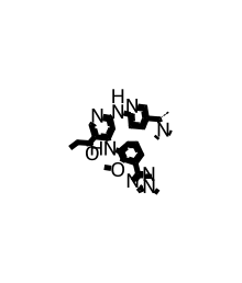 CCC(=O)c1cnc(Nc2ccc([C@H](C)N(C)C)cn2)cc1Nc1cccc(-c2ncn(C)n2)c1OC